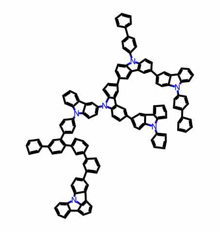 c1ccc(-c2ccc(-n3c4ccccc4c4cc(-c5ccc6c(c5)c5cc(-c7ccc8c(c7)c7cc(-c9ccc%10c(c9)c9ccccc9n%10-c9ccccc9)ccc7n8-c7ccc8c(c7)c7ccccc7n8-c7ccc(-c8cc(-c9ccccc9)ccc8-c8cccc(-c9cccc(-c%10ccc%11c(c%10)c%10cccc%12c%13ccccc%13n%11c%12%10)c9)c8)cc7)ccc5n6-c5ccc(-c6ccccc6)cc5)ccc43)cc2)cc1